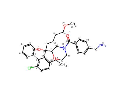 CCc1ccc(Cl)c(-c2ccccc2)c1C(O)(CCCCOC)C1CN(C(=O)c2ccc(CN)cc2)CCO1